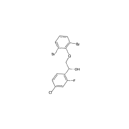 OC(COc1c(Br)cccc1Br)c1ccc(Cl)cc1F